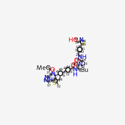 COC(=O)C[C@@H]1N=C(c2ccc(-c3ccc(C(=O)NC(C(=O)N4CCC[C@H]4C(=O)NCc4ccc(-c5scnc5CO)cc4)C(C)(C)C)cc3)cc2)c2c(sc(C)c2C)-n2c(C)nnc21